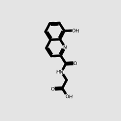 O=C(O)CNC(=O)c1ccc2cccc(O)c2n1